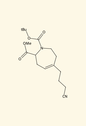 COC(=O)C1CC=C(CCCC#N)CCN1C(=O)OC(C)(C)C